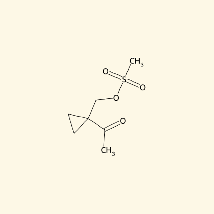 CC(=O)C1(COS(C)(=O)=O)CC1